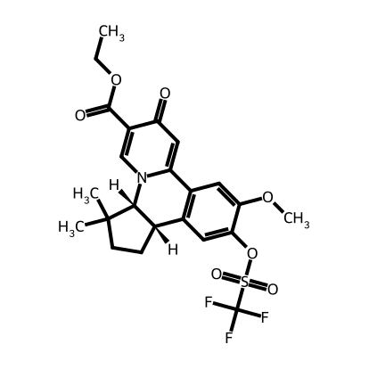 CCOC(=O)c1cn2c(cc1=O)-c1cc(OC)c(OS(=O)(=O)C(F)(F)F)cc1[C@@H]1CCC(C)(C)[C@@H]12